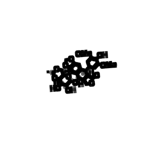 COC1=CC([C@@H]2c3cc4c(cc3[C@@H](O[C@@H]3O[C@@H]5CO[C@@H](C)O[C@H]5[C@H](O)[C@H]3O)[C@H]3COC(=O)[C@@H]32)OCO4)CC(OC)=C1O